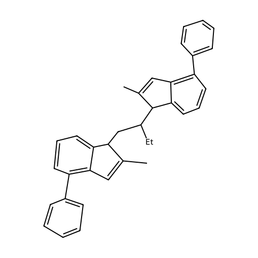 CCC(CC1C(C)=Cc2c(-c3ccccc3)cccc21)C1C(C)=Cc2c(-c3ccccc3)cccc21